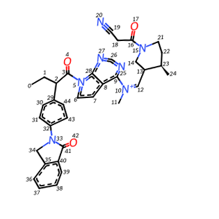 CCC(C(=O)n1ccc2c(/[N+](C)=C\C3CN(C(=O)CC#N)CC[C@H]3C)ncnc21)c1ccc(N2Cc3ccccc3C2=O)cc1